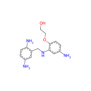 Nc1ccc(N)c(CNc2cc(N)ccc2OCCO)c1